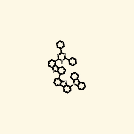 c1ccc(C2=NC(c3cccc4sc5c(-c6cccc7c6oc6c(-n8c9ccccc9c9ccccc98)cccc67)cccc5c34)NC(c3ccccc3)=N2)cc1